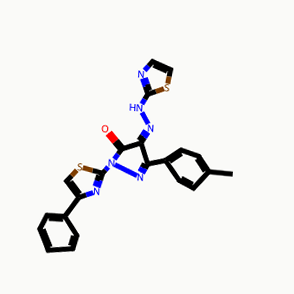 Cc1ccc(C2=NN(c3nc(-c4ccccc4)cs3)C(=O)/C2=N\Nc2nccs2)cc1